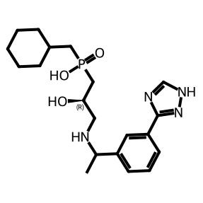 CC(NC[C@@H](O)CP(=O)(O)CC1CCCCC1)c1cccc(-c2nc[nH]n2)c1